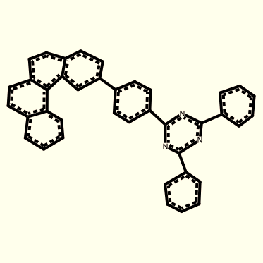 c1ccc(-c2nc(-c3ccccc3)nc(-c3ccc(-c4ccc5ccc6ccc7ccccc7c6c5c4)cc3)n2)cc1